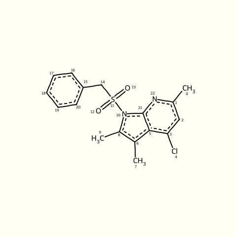 Cc1cc(Cl)c2c(C)c(C)n(S(=O)(=O)Cc3ccccc3)c2n1